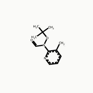 Cc1cccnc1N(C=O)OC(C)(C)C